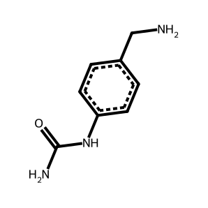 NCc1ccc(NC(N)=O)cc1